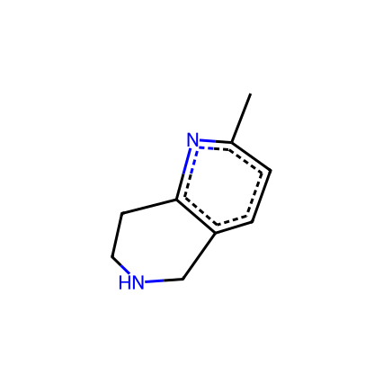 Cc1ccc2c(n1)CCNC2